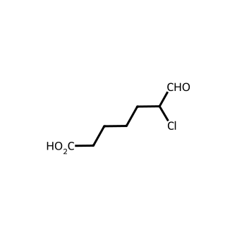 O=CC(Cl)CCCCC(=O)O